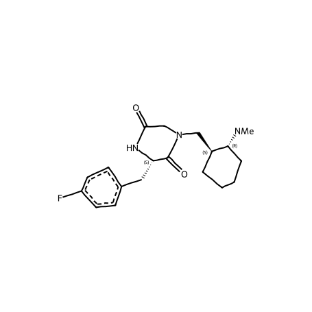 CN[C@@H]1CCCC[C@H]1CN1CC(=O)N[C@@H](Cc2ccc(F)cc2)C1=O